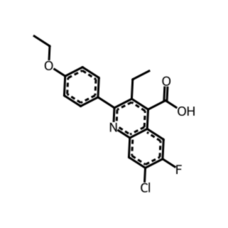 CCOc1ccc(-c2nc3cc(Cl)c(F)cc3c(C(=O)O)c2CC)cc1